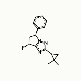 CC1(C)CC1c1nc2n(n1)[C@H](c1ccccc1)C[C@@H]2F